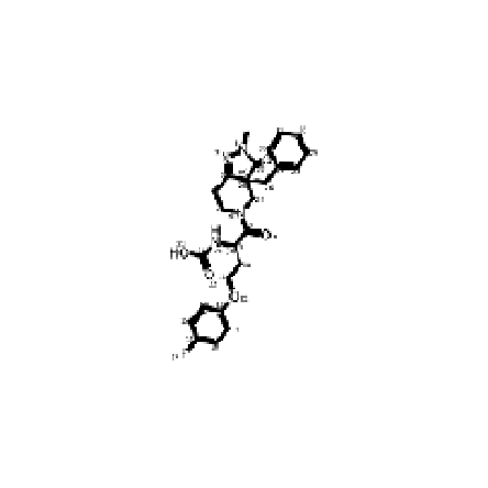 CN1N=C2CCN(C(=O)[C@@H](CCOc3ccc(F)cc3)NC(=O)O)C[C@@]2(Cc2ccccc2)C1=O